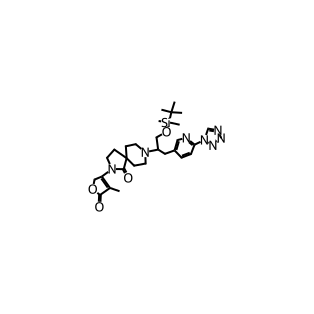 CC1=C(N2CCC3(CCN(C(CO[Si](C)(C)C(C)(C)C)Cc4ccc(-n5cnnn5)nc4)CC3)C2=O)COC1=O